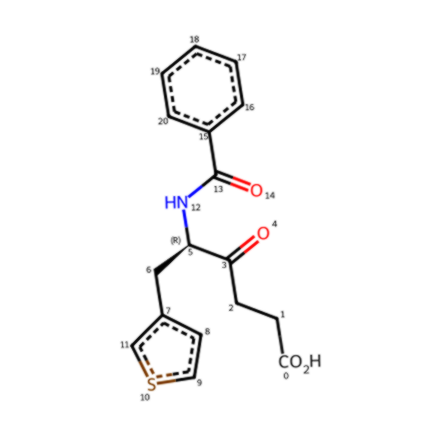 O=C(O)CCC(=O)[C@@H](Cc1ccsc1)NC(=O)c1ccccc1